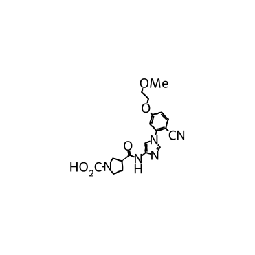 COCCOc1ccc(C#N)c(-n2cnc(NC(=O)[C@H]3CCN(C(=O)O)C3)c2)c1